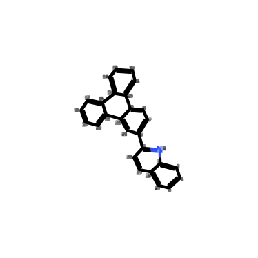 c1ccc2nc(-c3ccc4c5ccccc5c5ccccc5c4c3)ccc2c1